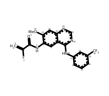 C=C(F)C(=O)Nc1cc2c(Nc3cccc(C(F)(F)F)c3)ncnc2cc1OC